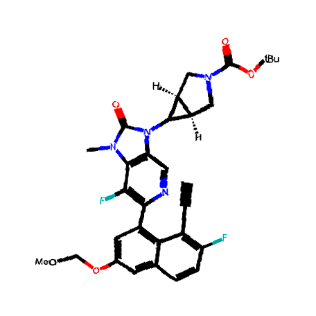 C#Cc1c(F)ccc2cc(OCOC)cc(-c3ncc4c(c3F)n(C)c(=O)n4C3[C@H]4CN(C(=O)OC(C)(C)C)C[C@@H]34)c12